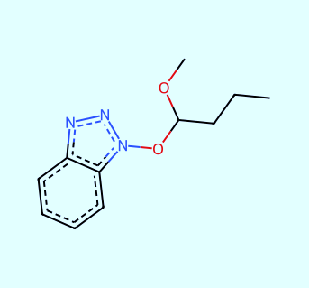 CCCC(OC)On1nnc2ccccc21